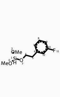 CO[SiH](OC)OCCc1cccc(F)c1